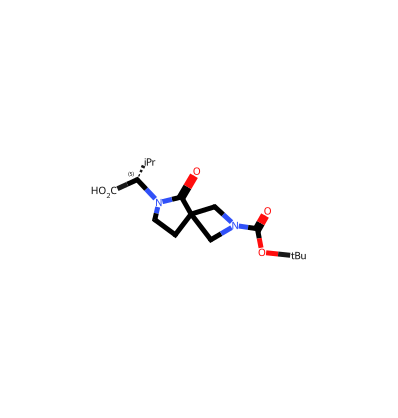 CC(C)[C@@H](C(=O)O)N1CCC2(CN(C(=O)OC(C)(C)C)C2)C1=O